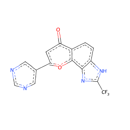 O=c1cc(-c2cncnc2)oc2c1ccc1[nH]c(C(F)(F)F)nc12